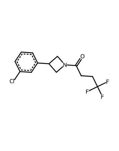 O=C(CCC(F)(F)F)N1CC(c2cccc(Cl)c2)C1